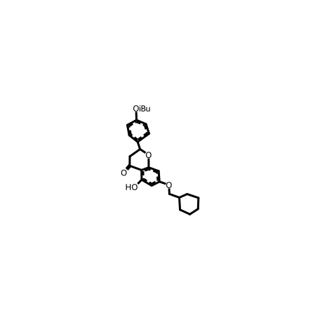 CC(C)COc1ccc(C2CC(=O)c3c(O)cc(OCC4CCCCC4)cc3O2)cc1